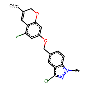 CC(C)n1nc(Cl)c2cc(COc3cc(F)c4c(c3)OCC(C=O)=C4)ccc21